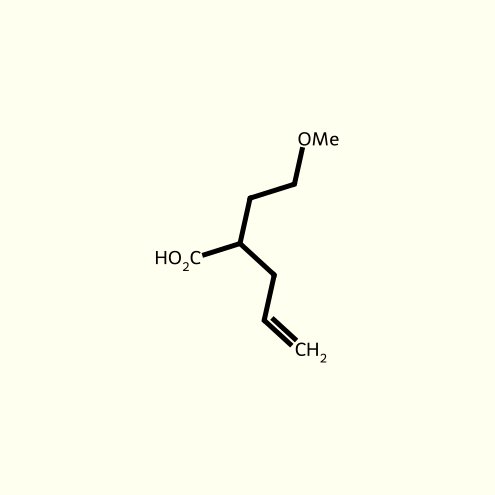 C=CCC(CCOC)C(=O)O